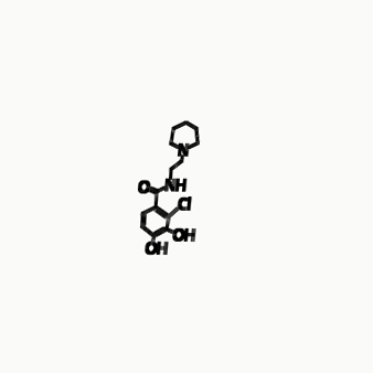 O=C(NCCN1CCCCC1)c1ccc(O)c(O)c1Cl